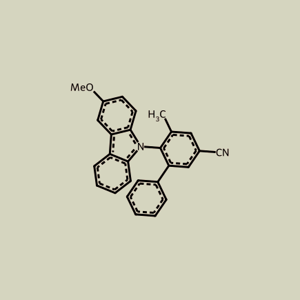 COc1ccc2c(c1)c1ccccc1n2-c1c(C)cc(C#N)cc1-c1ccccc1